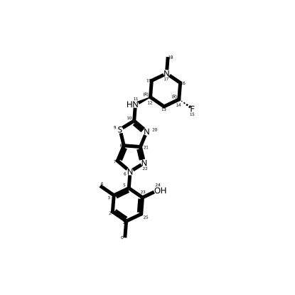 Cc1cc(C)c(-n2cc3sc(N[C@@H]4C[C@@H](F)CN(C)C4)nc3n2)c(O)c1